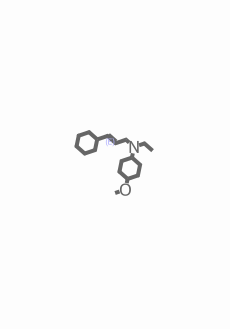 CCN(C/C=C/C1CCCCC1)C1CCC(OC)CC1